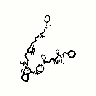 N[C@@H](CCC(=O)N1CCC(Nc2nc(NCCc3cn(CCCNCCCNC4CCCCC4)nn3)nc3ccccc23)CC1)C(=O)OCc1ccccc1